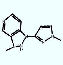 CN1NN(c2ccn(C)n2)c2ccncc21